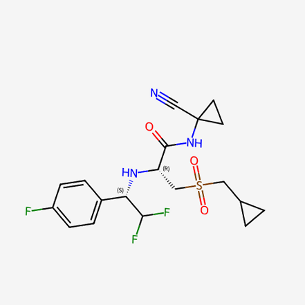 N#CC1(NC(=O)[C@H](CS(=O)(=O)CC2CC2)N[C@@H](c2ccc(F)cc2)C(F)F)CC1